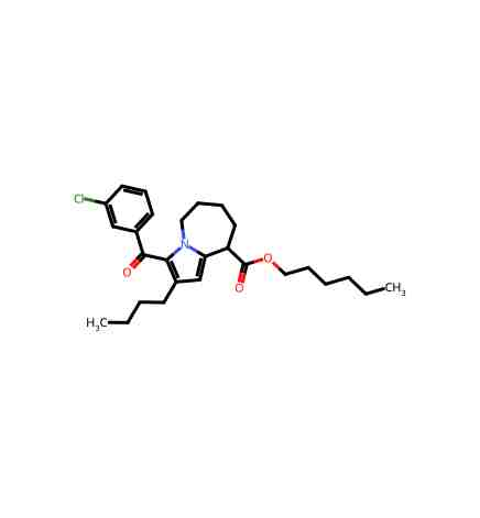 CCCCCCOC(=O)C1CCCCn2c1cc(CCCC)c2C(=O)c1cccc(Cl)c1